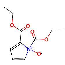 CCOC(=O)C1=CC=C[N+]1([O])C(=O)OCC